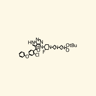 CC(C)(C)OC(=O)N1CC(N2CC(N3CCC(Nc4ncnc5[nH]cc(C(=O)c6ccc(Oc7ccccc7)cc6Cl)c45)C(F)C3)C2)C1